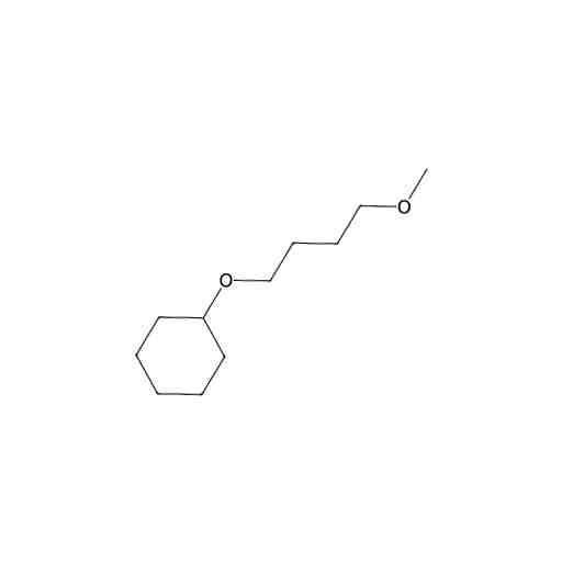 COCCCCOC1CCCCC1